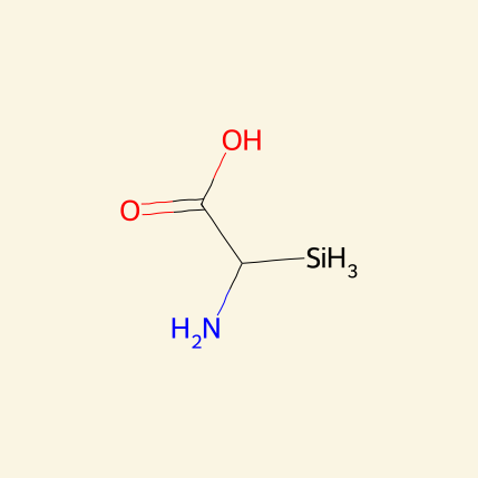 NC([SiH3])C(=O)O